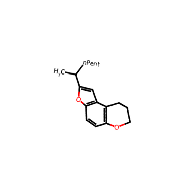 CCCCCC(C)c1cc2c3c(ccc2o1)OCCC3